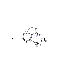 C/C=C1/CCc2cccc(C)c21